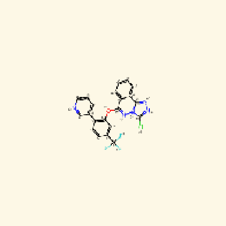 FC(F)(F)c1ccc(-c2cccnc2)c(Oc2nn3c(Cl)nnc3c3ccccc23)c1